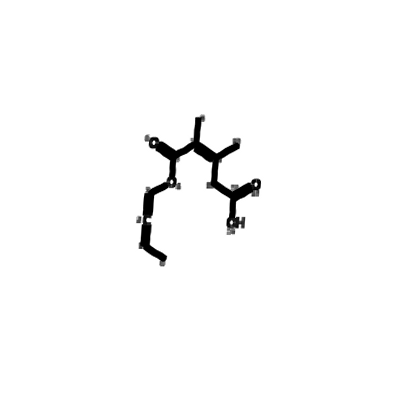 CC=C=COC(=O)C(C)=C(C)CC(=O)O